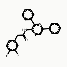 O=C(Cc1ccc(F)c(F)c1)Nc1ncc(-c2ccccc2)nc1-c1ccccc1